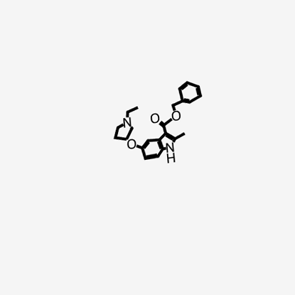 CCN1CCC(Oc2ccc3[nH]c(C)c(C(=O)OCc4ccccc4)c3c2)C1